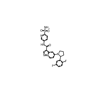 NS(=O)(=O)c1ccc(NC(=O)c2cnn3ccc(N4CCCC4c4cc(F)ccc4F)cc23)cn1